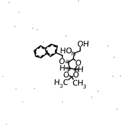 CC1(C)O[C@H]2OC([C@H](O)CO)[C@@H](OCc3ccc4ccccc4c3)[C@H]2O1